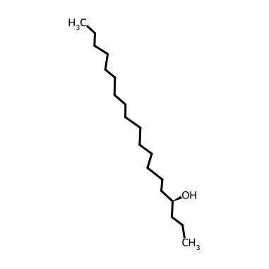 CCCCCCCCCCCCCCC[C@@H](O)CCC